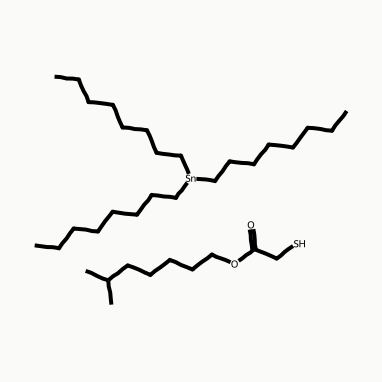 CC(C)CCCCCOC(=O)CS.CCCCCCC[CH2][Sn]([CH2]CCCCCCC)[CH2]CCCCCCC